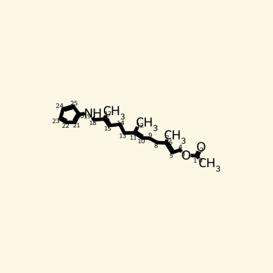 CC(=O)OC/C=C(\C)CC/C=C(\C)CC/C=C(\C)CNc1ccccc1